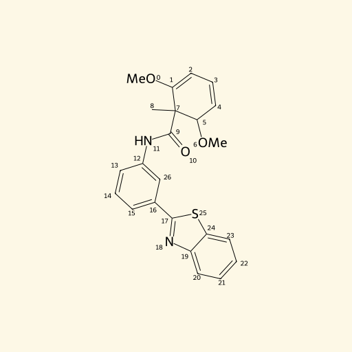 COC1=CC=CC(OC)C1(C)C(=O)Nc1cccc(-c2nc3ccccc3s2)c1